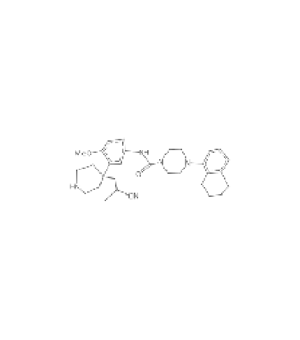 COc1ccc(NC(=O)N2CCN(c3cccc4c3CCCC4)CC2)cc1C1(CC(C)C#N)CCNCC1